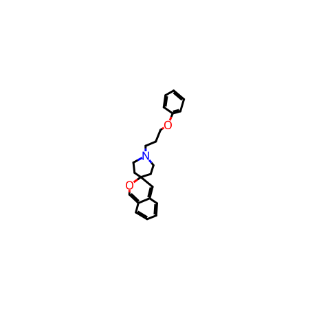 C1=c2ccccc2=CC2(CCN(CCCOc3ccccc3)CC2)O1